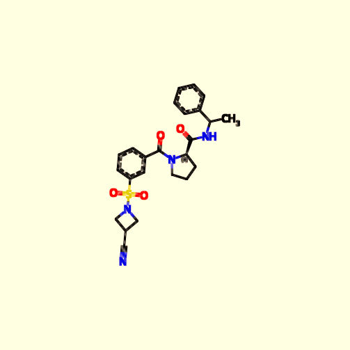 CC(NC(=O)[C@H]1CCCN1C(=O)c1cccc(S(=O)(=O)N2CC(C#N)C2)c1)c1ccccc1